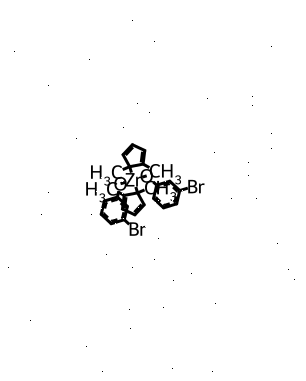 CC1=CC=C[C]1(C)[Zr]([O]c1cccc(Br)c1)([O]c1cccc(Br)c1)[C]1(C)C=CC=C1C